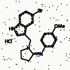 COc1ccc(/N=C2/CCCN2Cc2c[nH]c3ccc(Br)cc23)cc1.Cl